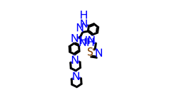 c1cc(NCc2nccs2)c2c(-c3nc4ccc(N5CCC(N6CCCCC6)CC5)cc4[nH]3)n[nH]c2c1